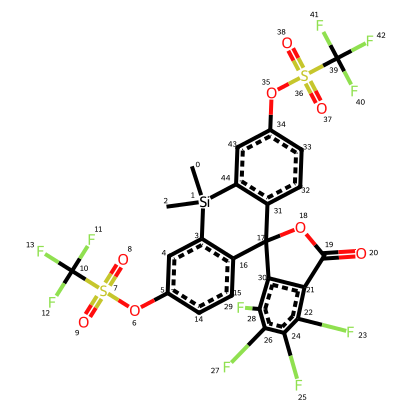 C[Si]1(C)c2cc(OS(=O)(=O)C(F)(F)F)ccc2C2(OC(=O)c3c(F)c(F)c(F)c(F)c32)c2ccc(OS(=O)(=O)C(F)(F)F)cc21